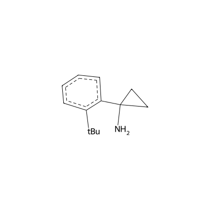 CC(C)(C)c1ccccc1C1(N)CC1